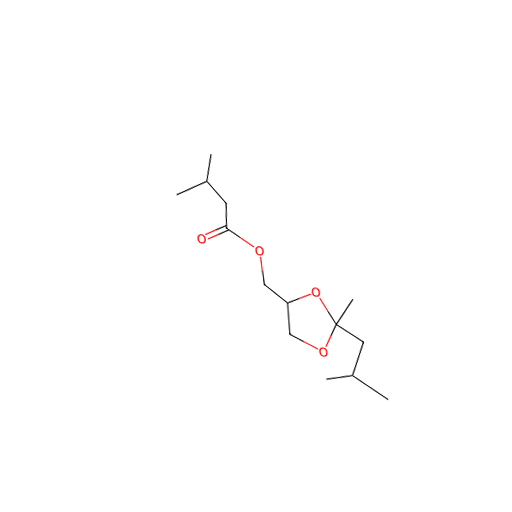 CC(C)CC(=O)OCC1COC(C)(CC(C)C)O1